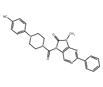 Cn1c(=O)n(C(=O)N2CCN(c3ccc(C#N)cc3)CC2)c2cnc(-c3ccccc3)nc21